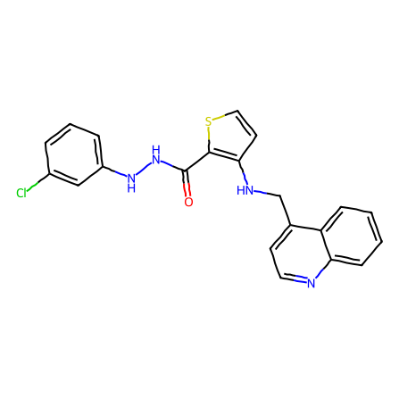 O=C(NNc1cccc(Cl)c1)c1sccc1NCc1ccnc2ccccc12